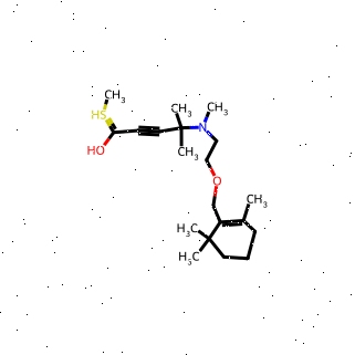 C[SH]=C(O)C#CC(C)(C)N(C)CCOCC1=C(C)CCCC1(C)C